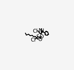 CCCCCCCC(C)(Cl)SC(=O)Oc1cc(Cl)nnc1-c1ccccc1